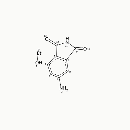 CCO.Nc1ccc2c(c1)C(=O)NC2=O